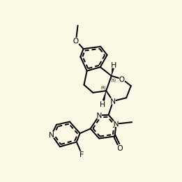 COc1ccc2c(c1)CC[C@@H]1[C@H]2OCCN1c1nc(-c2ccncc2F)cc(=O)n1C